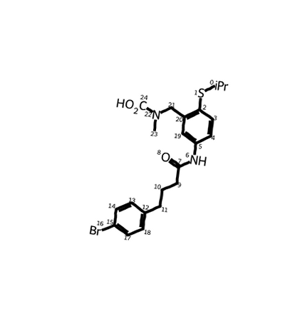 CC(C)Sc1ccc(NC(=O)CCCc2ccc(Br)cc2)cc1CN(C)C(=O)O